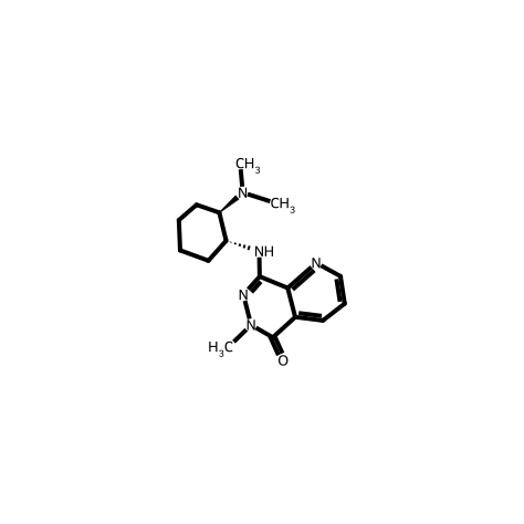 CN(C)[C@@H]1CCCC[C@H]1Nc1nn(C)c(=O)c2cccnc12